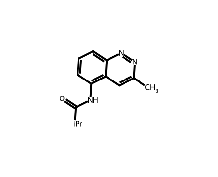 Cc1cc2c(NC(=O)C(C)C)cccc2nn1